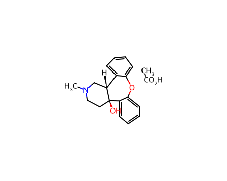 CC(=O)O.CN1CC[C@@]2(O)c3ccccc3Oc3ccccc3[C@H]2C1